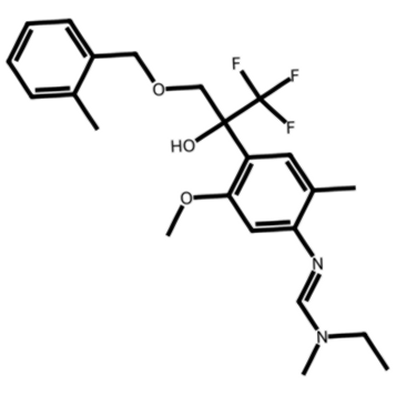 CCN(C)/C=N/c1cc(OC)c(C(O)(COCc2ccccc2C)C(F)(F)F)cc1C